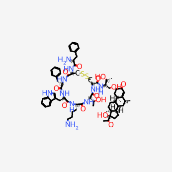 CC(=O)[C@@]1(O)CC[C@H]2[C@@H]3C[C@H](C)C4=CC(=O)CC[C@]4(C)[C@H]3CC[C@@]21C.CC(O)[C@@H]1NC(=O)[C@H](CCCCN)NC(=O)[C@@H](Cc2c[nH]c3ccccc23)NC(=O)[C@H](Cc2ccccc2)NC(=O)[C@@H](NC(=O)[C@H](N)Cc2ccccc2)CSSC[C@@H](C(=O)N[C@H](CO)[C@@H](C)O)NC1=O